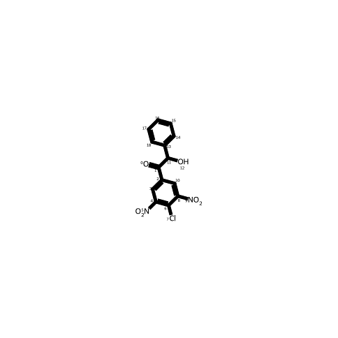 O=C(c1cc([N+](=O)[O-])c(Cl)c([N+](=O)[O-])c1)C(O)c1ccccc1